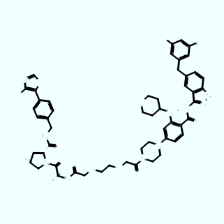 Cc1ncsc1-c1ccc(CNC(=O)[C@@H]2C[C@@H](O)CN2C(=O)[C@@H](NC(=O)COCCOCC(=O)N2CCN(c3ccc(C(=O)Nc4n[nH]c5ccc(Cc6cc(F)cc(F)c6)cc45)c(NC4CCOCC4)c3)CC2)C(C)(C)C)cc1